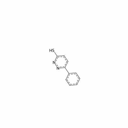 Sc1ccc(-c2ccccc2)nn1